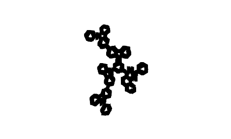 c1ccc(-c2nc(-c3cc(-n4c5ccccc5c5cc(-c6ccc7c(c6)c6ccccc6n7-c6ccccc6)ccc54)cc(-n4c5ccccc5c5cc(-c6ccc7c(c6)c6ccccc6n7-c6ccccc6)ccc54)c3)c3ccc4ccccc4c3n2)cc1